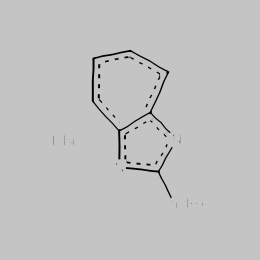 Br.CCCCCCc1nc2ccccc2[nH]1